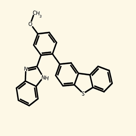 COc1ccc(-c2ccc3sc4ccccc4c3c2)c(-c2nc3ccccc3[nH]2)c1